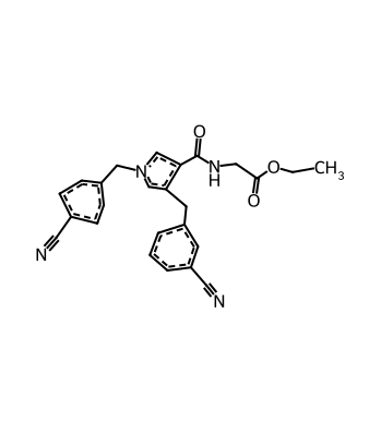 CCOC(=O)CNC(=O)c1cn(Cc2ccc(C#N)cc2)cc1Cc1cccc(C#N)c1